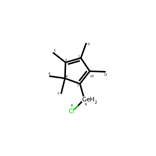 CC1=C(C)C(C)(C)[C]([GeH2][Cl])=C1C